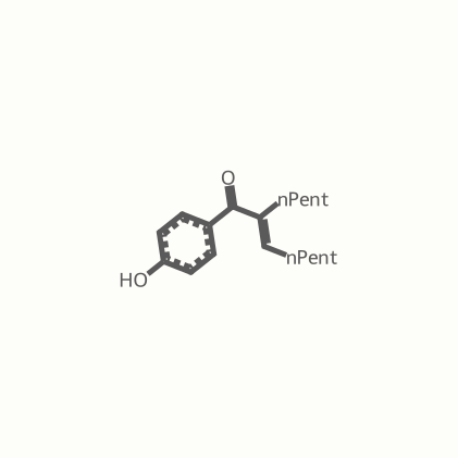 CCCCCC=C(CCCCC)C(=O)c1ccc(O)cc1